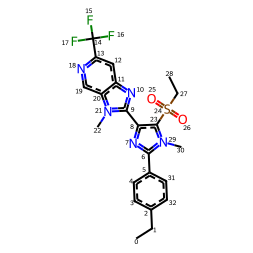 CCc1ccc(-c2nc(-c3nc4cc(C(F)(F)F)ncc4n3C)c(S(=O)(=O)CC)n2C)cc1